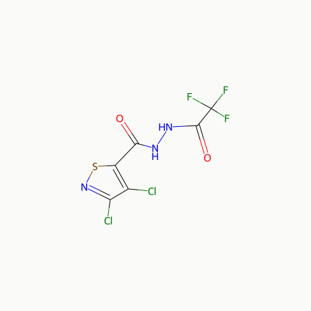 O=C(NNC(=O)C(F)(F)F)c1snc(Cl)c1Cl